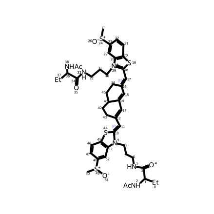 CCC(NC(C)=O)C(=O)NCCCN1/C(=C/C2=CC3=C/C(=C/c4sc5ccc([S+](C)[O-])cc5[n+]4CCCNC(=O)C(CC)NC(C)=O)CCC3CC2)Sc2ccc([S+](C)[O-])cc21